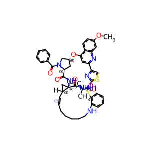 COc1ccc2c(O[C@@H]3C[C@@H](C(=O)N[C@]45C[C@H]4/C=C\CCCCCNc4ccccc4S(=O)(=O)NC5=O)N(C(=O)c4ccccc4)C3)cc(-c3csc(NC(C)C)n3)nc2c1